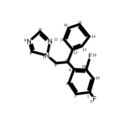 Fc1ccc(C(Cn2cncn2)c2ccccc2)c(F)c1